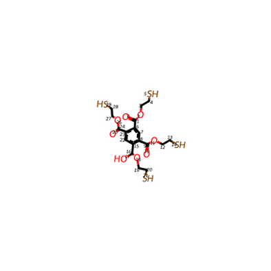 O=C(OCCS)c1cc(C(=O)OCCS)c(C(O)OCCS)cc1C(=O)OCCS